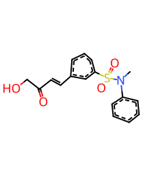 CN(c1ccccc1)S(=O)(=O)c1cccc(/C=C/C(=O)CO)c1